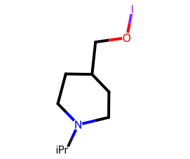 CC(C)N1CCC(COI)CC1